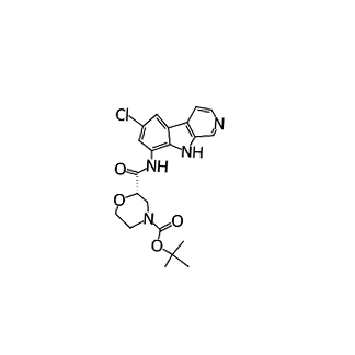 CC(C)(C)OC(=O)N1CCO[C@H](C(=O)Nc2cc(Cl)cc3c2[nH]c2cnccc23)C1